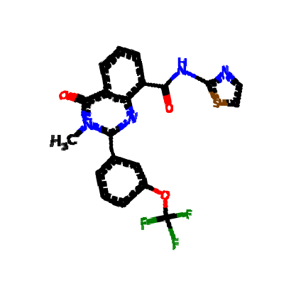 Cn1c(-c2cccc(OC(F)(F)F)c2)nc2c(C(=O)Nc3nccs3)cccc2c1=O